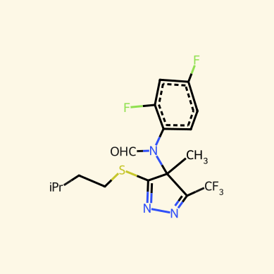 CC(C)CCSC1=NN=C(C(F)(F)F)C1(C)N(C=O)c1ccc(F)cc1F